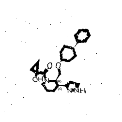 O=C(N1CCC[C@H](c2cc[nH]n2)[C@@H]1CO[C@H]1CC[C@@H](c2ccccc2)CC1)C1(O)CC1